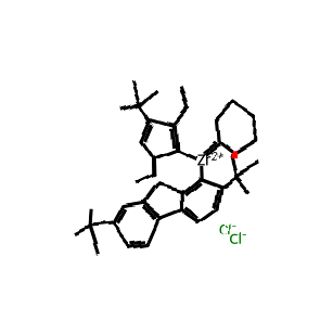 CCC1=[C]([Zr+2](=[C]2CCCCC2)[c]2c(C(C)(C)C)ccc3c2Cc2cc(C(C)(C)C)ccc2-3)C(CC)C=C1C(C)(C)C.[Cl-].[Cl-]